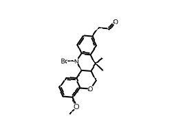 COc1cccc2c1OCC1C2N(Br)c2ccc(CC=O)cc2C1(C)C